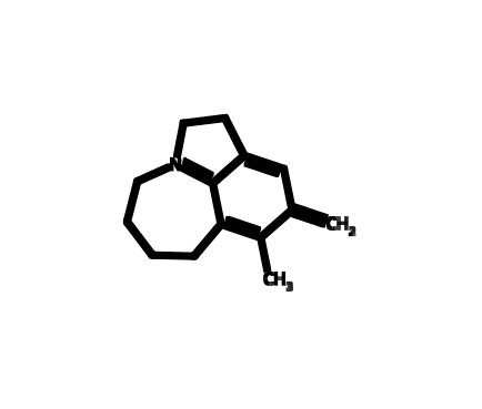 C=c1cc2c3c(c1C)CCCC[N+]=3CC2